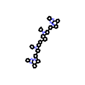 c1ccc(-n2c3cc(-c4ccc5c(c4)c4cccc6c4n5-c4nc5ccccc5nc4-c4ccccc4-6)ccc3c3cc4cc(-c5cccc6c5ccc5c6c6ccc(-c7ccc8c(c7)c7cccc9c7n8-c7nc8ccccc8nc7-c7ccccc7-9)cc6n5-c5ccccc5)ccc4cc32)cc1